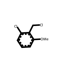 COc1cccc(Cl)c1CCl